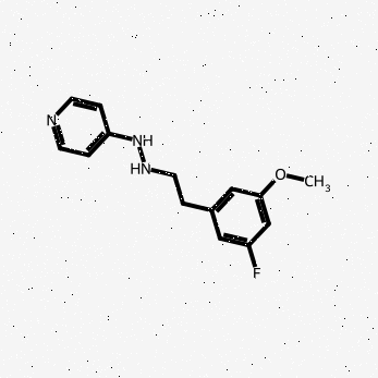 COc1cc(F)cc(CCNNc2ccncc2)c1